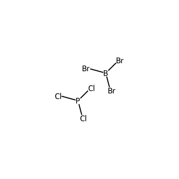 BrB(Br)Br.ClP(Cl)Cl